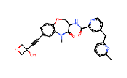 Cc1cccc(Cc2ccnc(C(=O)NC3COc4ccc(C#CC5(O)COC5)cc4N(C)C3=O)c2)n1